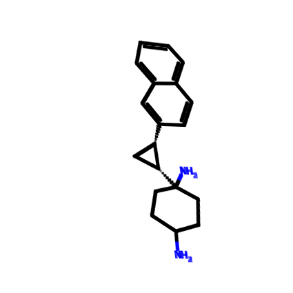 NC1CCC(N)([C@@H]2C[C@@H]2c2ccc3ccccc3c2)CC1